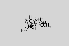 CS(=O)(=O)Nc1ccc2c(c1)P(O)N=C(c1c(O)c(-c3ccsc3)nn(Cc3ccc(F)cc3)c1=O)N2